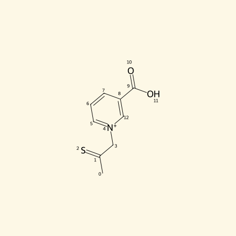 CC(=S)C[n+]1cccc(C(=O)O)c1